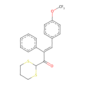 O=C(C(=Cc1ccc(OC(F)(F)F)cc1)c1ccccc1)C1SCCCS1